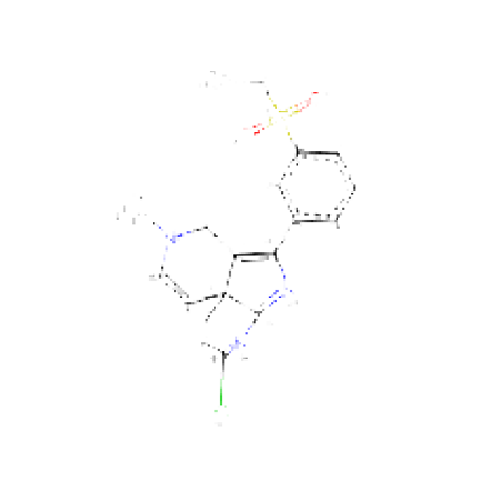 CCS(=O)(=O)c1cccc(C2=C3CN(C)C=CC34CCC(Cl)=NC4=N2)c1